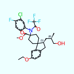 CCOc1ccc2c(c1)C1(CCC(C(=O)OC)(N(C(=O)C(F)(F)F)c3ccc(F)c(Cl)c3)CC1)[C@@H](C[C@@H](C)CO)C2